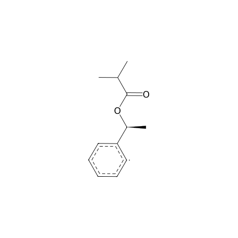 CC(C)C(=O)O[C@@H](C)c1[c]cccc1